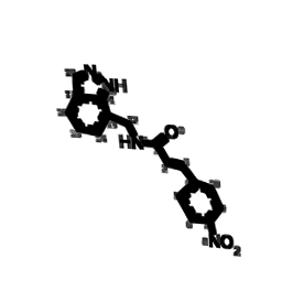 O=C(/C=C/c1ccc([N+](=O)[O-])cc1)NCc1cccc2cn[nH]c12